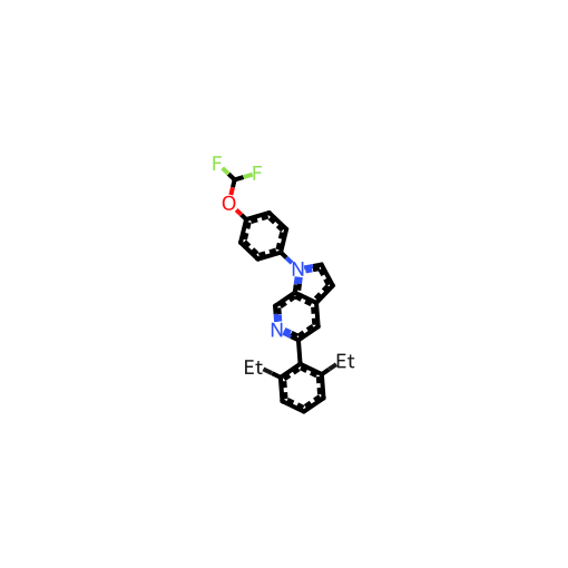 CCc1cccc(CC)c1-c1cc2ccn(-c3ccc(OC(F)F)cc3)c2cn1